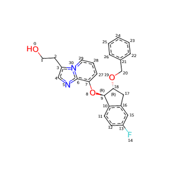 OCCc1cnc2c(O[C@@H]3c4ccc(F)cc4C[C@H]3OCc3ccccc3)cccn12